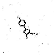 O=C(O)c1sc(-c2ccc(Cl)cc2)nc1Br